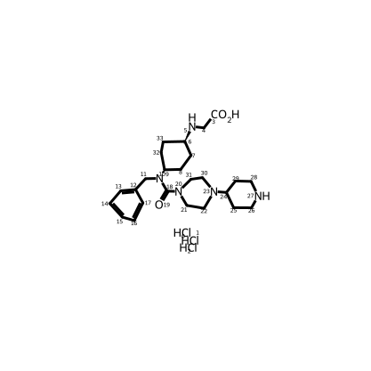 Cl.Cl.Cl.O=C(O)CN[C@H]1CC[C@H](N(Cc2ccccc2)C(=O)N2CCN(C3CCNCC3)CC2)CC1